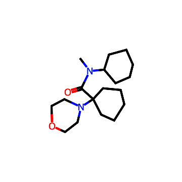 CN(C(=O)C1(N2CCOCC2)CCCCC1)C1CCCCC1